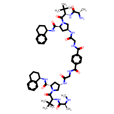 CN[C@@H](C)C(=O)N[C@H](C(=O)N1C[C@@H](NC(=O)CNC(=O)c2ccc(C(=O)NCC(=O)N[C@H]3C[C@@H](C(=O)N[C@@H]4CCCc5ccccc54)N(C(=O)[C@@H](NC(=O)[C@H](C)N)C(C)(C)C)C3)cc2)C[C@H]1C(=O)N[C@@H]1CCCc2ccccc21)C(C)(C)C